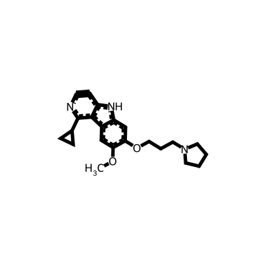 COc1cc2c(cc1OCCCN1CCCC1)[nH]c1c#cnc(C3CC3)c12